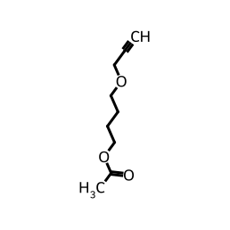 C#CCOCCCCOC(C)=O